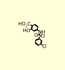 O=C(O)c1ccc(NS(=O)(=O)c2cccc(Cl)c2)cc1O